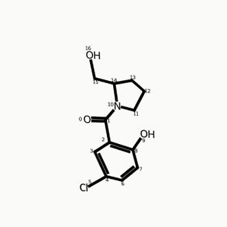 O=C(c1cc(Cl)ccc1O)N1CCCC1CO